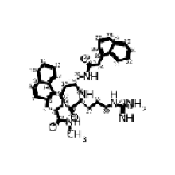 CNC(=O)[C@H](Cc1ccc2ccccc2c1)N1CC[C@H](CNC(=O)Cc2cccc3ccccc23)N[C@@H](CCCNC(=N)N)C1=O